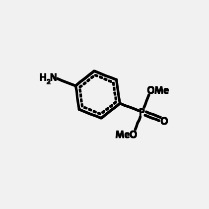 COP(=O)(OC)c1ccc(N)cc1